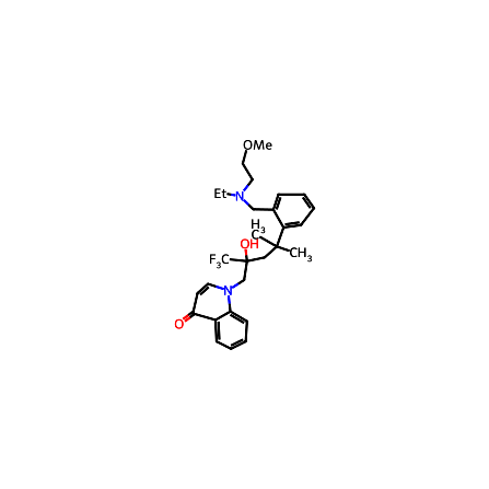 CCN(CCOC)Cc1ccccc1C(C)(C)CC(O)(Cn1ccc(=O)c2ccccc21)C(F)(F)F